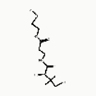 CC(C)SCCNC(=O)CCNC(=O)[C@H](O)C(C)(C)CO